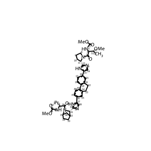 COC(=O)NC(C(=O)N1CCC[C@H]1c1ncc(-c2ccc3c(c2)CCc2cc(-c4cnc([C@@H]5C6CCC(C6)N5C(=O)[C@@H](NC(=O)OC)C(C)C)[nH]4)ccc2-3)[nH]1)[C@@H](C)OC